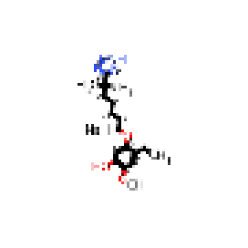 CCc1cc(OC)c(O)cc1OCCCCCC(C)(C)c1nn[nH]n1.[NaH]